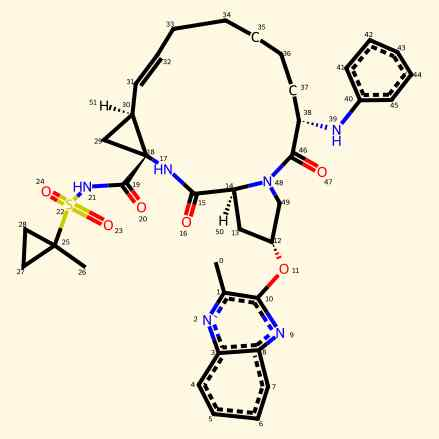 Cc1nc2ccccc2nc1O[C@@H]1C[C@H]2C(=O)N[C@]3(C(=O)NS(=O)(=O)C4(C)CC4)C[C@H]3/C=C\CCCCC[C@H](Nc3ccccc3)C(=O)N2C1